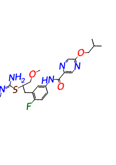 C/N=C(/N)S[C@@](C)(COC)Cc1cc(NC(=O)c2cnc(OCC(C)C)cn2)ccc1F